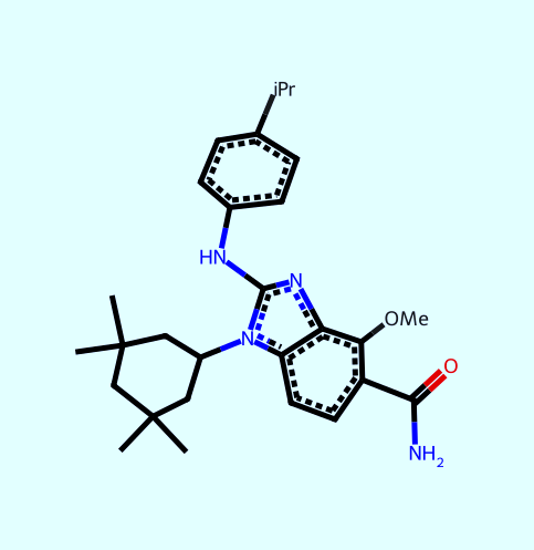 COc1c(C(N)=O)ccc2c1nc(Nc1ccc(C(C)C)cc1)n2C1CC(C)(C)CC(C)(C)C1